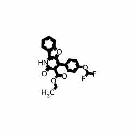 CCOC(=O)c1c(-c2ccc(OC(F)F)cc2)c2oc3ccccc3c2[nH]c1=O